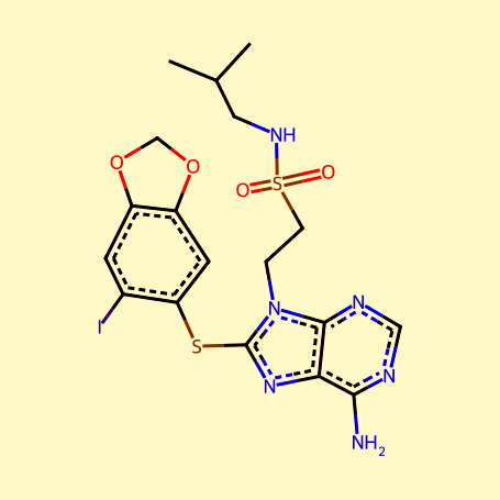 CC(C)CNS(=O)(=O)CCn1c(Sc2cc3c(cc2I)OCO3)nc2c(N)ncnc21